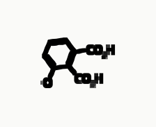 [O]c1cccc(C(=O)O)c1C(=O)O